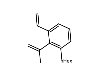 C=Cc1cccc(CCCCCC)c1C(=C)C